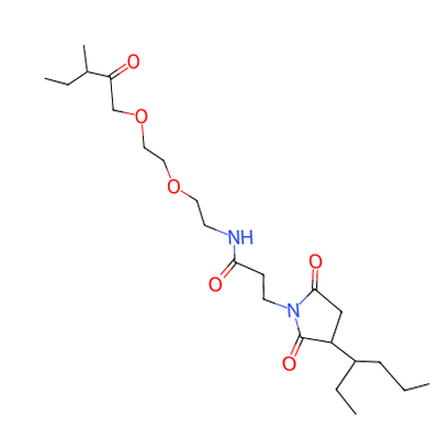 CCCC(CC)C1CC(=O)N(CCC(=O)NCCOCCOCC(=O)C(C)CC)C1=O